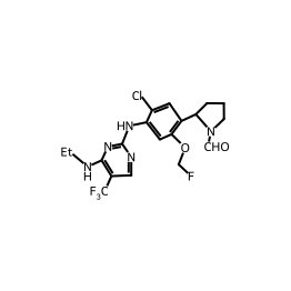 CCNc1nc(Nc2cc(OCF)c(C3CCCN3C=O)cc2Cl)ncc1C(F)(F)F